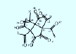 CC(=O)C1(C(C)=O)C(=O)C(=O)C(C(C)=O)(C(C)=O)C1(C(C)=O)C(C)=O